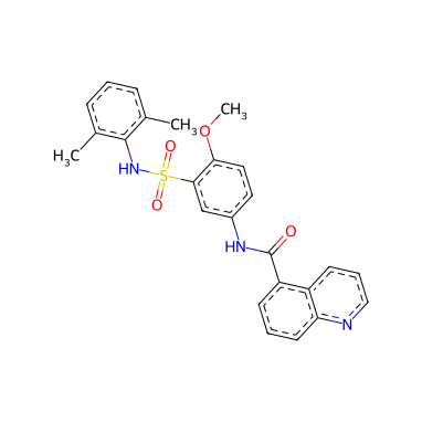 COc1ccc(NC(=O)c2cccc3ncccc23)cc1S(=O)(=O)Nc1c(C)cccc1C